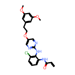 C=CC(=O)Nc1cccc(Cl)c1Nc1ncc(OCCc2cc(OC)cc(OC)c2)cn1